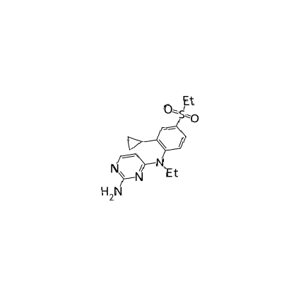 CCN(c1ccnc(N)n1)c1ccc(S(=O)(=O)CC)cc1C1CC1